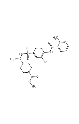 Cc1ccccc1C(=O)Nc1ccc(S(=O)(=O)N[C@H](C)C2CCN(C(=O)OC(C)(C)C)CC2)cc1Br